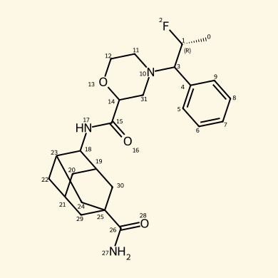 C[C@@H](F)C(c1ccccc1)N1CCOC(C(=O)NC2C3CC4CC2CC(C(N)=O)(C4)C3)C1